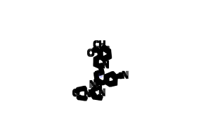 CC(=O)c1cccc2nc(/C=C/c3nc4c(N5CCOCC5)ccnn4c3-c3ccc(C#N)cc3)ccc12